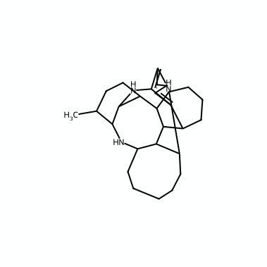 CC1CCC2C3CCCCC4c5cccc6c5NC2C1NC1CCCCCC(N6)C1C43